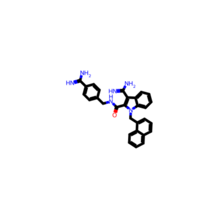 N=C(N)c1ccc(CNC(=O)c2c(C(=N)N)c3ccccc3n2Cc2cccc3ccccc23)cc1